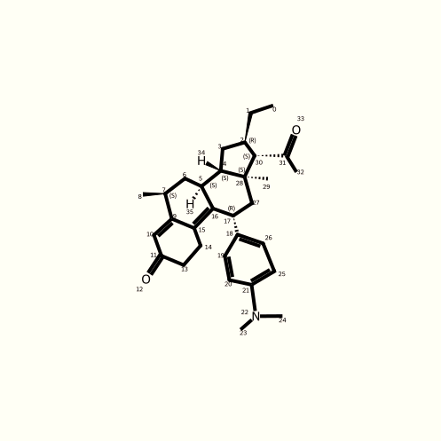 CC[C@@H]1C[C@H]2[C@@H]3C[C@H](C)C4=CC(=O)CCC4=C3[C@@H](c3ccc(N(C)C)cc3)C[C@]2(C)[C@H]1C(C)=O